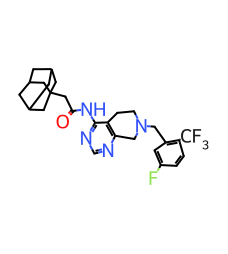 O=C(CC12CC3CC(CC(C3)C1)C2)Nc1ncnc2c1CCN(Cc1cc(F)ccc1C(F)(F)F)C2